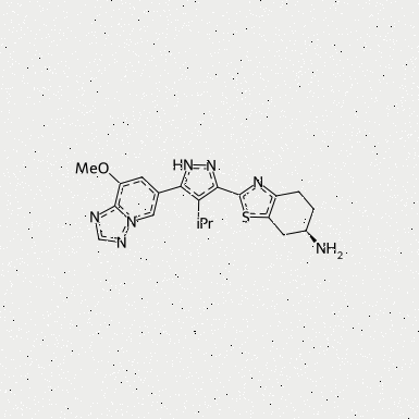 COc1cc(-c2[nH]nc(-c3nc4c(s3)C[C@H](N)CC4)c2C(C)C)cn2ncnc12